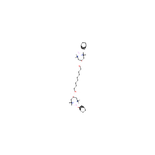 CC1(C)CC(OC(=O)CCCCCCCCC(=O)OC2CC(C)(C)N(OC3CC4CCC3C4)C(C)(C)C2)CC(C)(C)N1OC1CC2CCC1C2